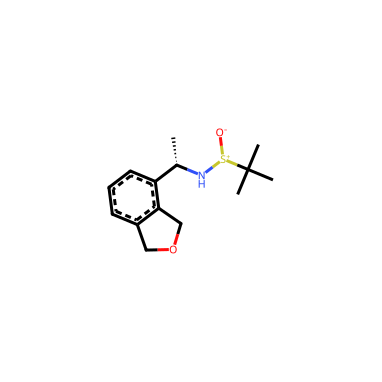 C[C@H](N[S+]([O-])C(C)(C)C)c1cccc2c1COC2